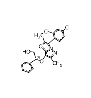 Cc1nn2c(-c3ccc(Cl)cc3Cl)c(C)oc2c1O[C@H](CO)c1ccccc1